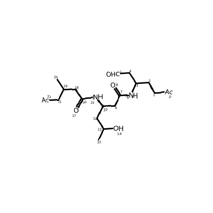 CC(=O)CCC(CC=O)NC(=O)CC(CC(C)O)NC(=O)CC(C)CC(C)=O